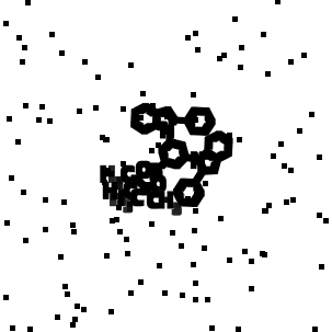 CC1(C)OB(c2cc(-n3c(-c4ccccc4)cc4ccccc43)cc(-n3c(-c4ccccc4)cc4ccccc43)c2)OC1(C)C